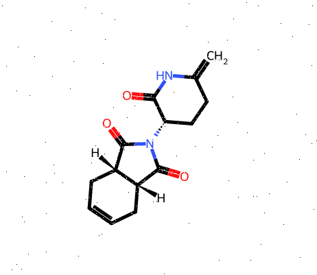 C=C1CC[C@H](N2C(=O)[C@H]3CC=CC[C@H]3C2=O)C(=O)N1